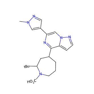 Cn1cc(-c2cn3nccc3c(C3CCCN(C(=O)O)C(C(C)(C)C)C3)n2)cn1